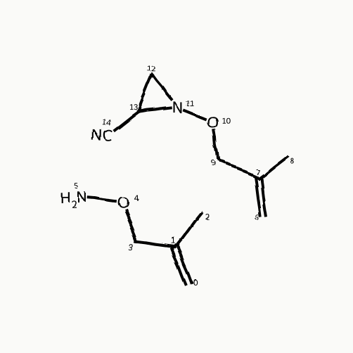 C=C(C)CON.C=C(C)CON1CC1C#N